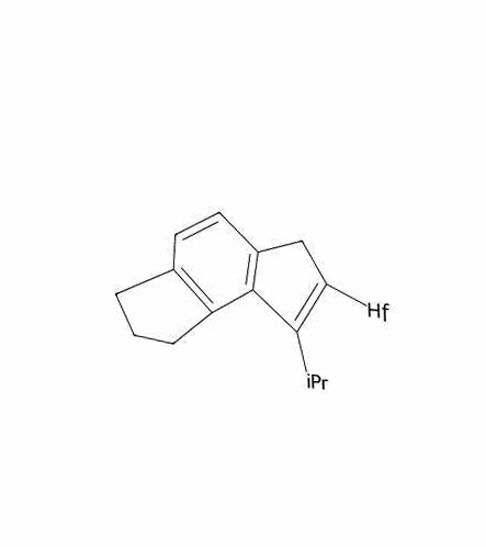 CC(C)C1=[C]([Hf])Cc2ccc3c(c21)CCC3